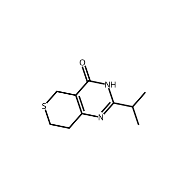 CC(C)c1nc2c(c(=O)[nH]1)CSCC2